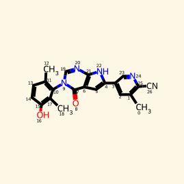 Cc1cc(-c2cc3c(=O)n(-c4c(C)ccc(O)c4C)cnc3[nH]2)cnc1C#N